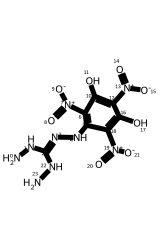 NNC(=NNc1c([N+](=O)[O-])c(O)c([N+](=O)[O-])c(O)c1[N+](=O)[O-])NN